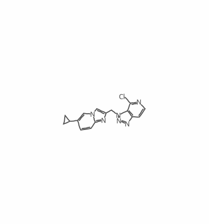 Clc1nccc2nnn(Cc3cn4cc(C5CC5)ccc4n3)c12